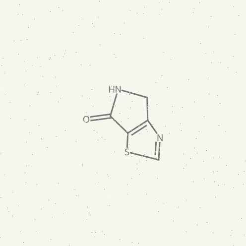 O=C1NCc2ncsc21